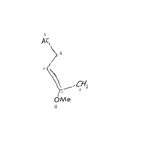 COC(C)=CCC(C)=O